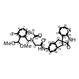 COC(OC)c1c(F)cccc1CN(CC(=O)Nc1ccc2c(c1)CC1(C2)C(=O)Nc2ncccc21)C(=O)C(C)(C)C